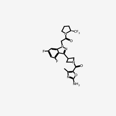 Cc1nc(N)oc1C(=O)N1CC(c2nn(CC(=O)N3CCC[C@H]3C(F)(F)F)c3cc(F)cc(F)c23)C1